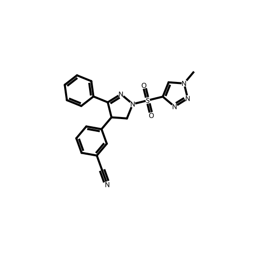 Cn1cc(S(=O)(=O)N2CC(c3cccc(C#N)c3)C(c3ccccc3)=N2)nn1